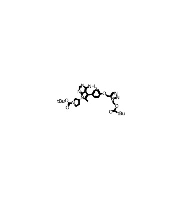 Cc1c(-c2ccc(OCc3cnnn3COC(=O)C(C)(C)C)cc2)c2c(N)ncnc2n1[C@@H]1CCN(C(=O)OC(C)(C)C)C1